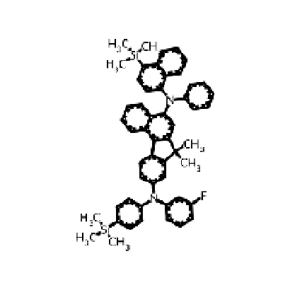 CC1(C)c2cc(N(c3ccc([Si](C)(C)C)cc3)c3cccc(F)c3)ccc2-c2c1cc(N(c1ccccc1)c1ccc([Si](C)(C)C)c3ccccc13)c1ccccc21